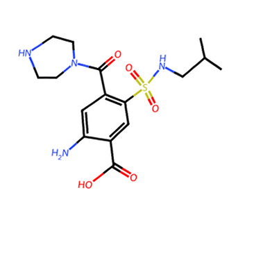 CC(C)CNS(=O)(=O)c1cc(C(=O)O)c(N)cc1C(=O)N1CCNCC1